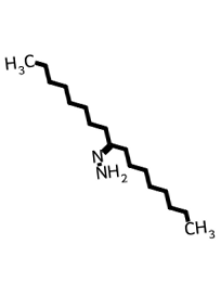 CCCCCCCCC(CCCCCCCC)=NN